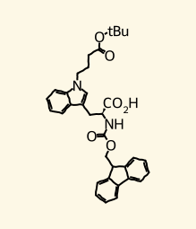 CC(C)(C)OC(=O)CCCn1cc(C[C@H](NC(=O)OCC2c3ccccc3-c3ccccc32)C(=O)O)c2ccccc21